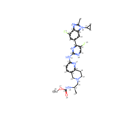 Cc1nc2c(F)cc(-c3nc(Nc4ccc5c(n4)CCN(C[C@@H](C)NC(=O)OC(C)(C)C)C5)ncc3F)cc2n1C1CC1